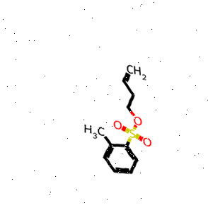 C=CCCOS(=O)(=O)c1ccccc1C